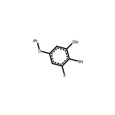 CC(C)Oc1cc(O)c(S)c(F)c1